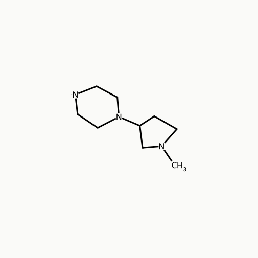 CN1CCC(N2CC[N]CC2)C1